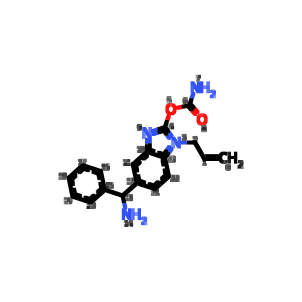 C=CCn1c(OC(N)=O)nc2cc(C(N)c3ccccc3)ccc21